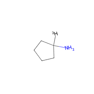 [2H]C1(N)CCCC1